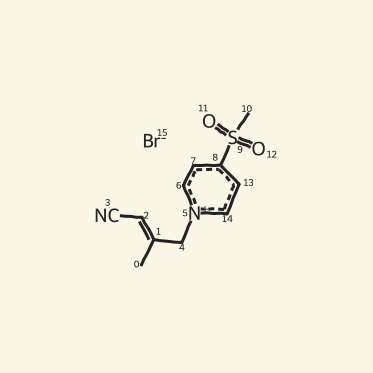 CC(=CC#N)C[n+]1ccc(S(C)(=O)=O)cc1.[Br-]